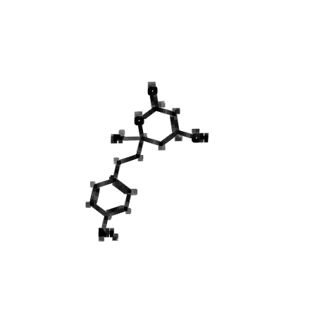 CC(C)C1(CCc2ccc(N)cc2)CC(O)=CC(=O)O1